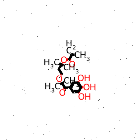 C=C(C)C(=O)OC(C)(C)CCOC(C)(C)C(=O)c1cc(O)c(O)c(O)c1